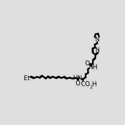 CCC=CCC=CCC=CCC=CCC=CCCCC(=O)NC(CCCCNC(=O)CC=Cc1ccc(CCN2CCCC2)nc1)C(=O)O